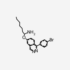 CCCCCCC(N)Oc1ccc2c(-c3ccc(Br)cc3)nncc2c1